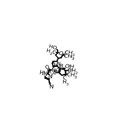 BC1=C(c2nc(C3CC(C)(C)OC(C)(CO)C3)ccc2NC(=O)c2nc(C#N)c[nH]2)C(B)(O)C(B)C(C)(C)C1